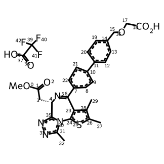 COC(=O)C[C@@H]1N=C(c2ccc(-c3ccc(COCC(=O)O)cc3)cc2)c2c(sc(C)c2C)-n2c(C)nnc21.O=C(O)C(F)(F)F